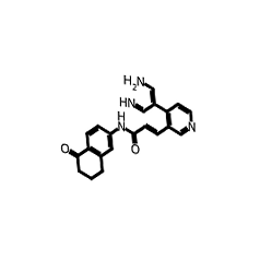 N=C/C(=C\N)c1ccncc1/C=C/C(=O)Nc1ccc2c(c1)CCCC2=O